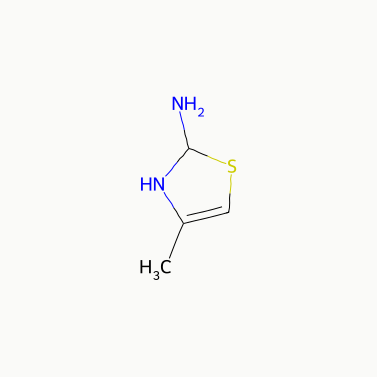 CC1=CSC(N)N1